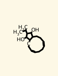 CC(C)C1C(O)C2CCC=CCCC=CCCC2C1O